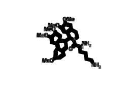 COc1ccc2cc(C3c4cc(OC)c(OC)cc4CCN3C(=O)[C@H](N)CCCCN)c3cc(OC)c(OC)cc3c2c1